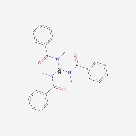 CN(C(=O)c1ccccc1)[SiH](N(C)C(=O)c1ccccc1)N(C)C(=O)c1ccccc1